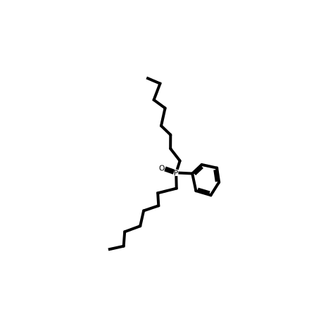 CCCCCCCCP(=O)(CCCCCCCC)c1ccccc1